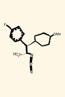 COC1CCC([C@H](c2ccc(F)cc2)[C@H](N=[N+]=[N-])C(=O)O)CC1